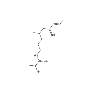 C/C=C/C(=N)CC(C)CCCNC(=N)C(C)C(C)C